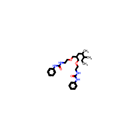 CCC(C)C(C)CC(COCCNC(=O)Nc1ccccc1)COCCNC(=O)Nc1ccccc1